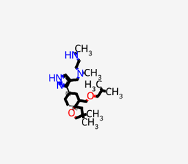 CNCCN(C)Cc1c[nH]nc1[C@@H]1CC[C@@]2(CC(C)(C)CO2)C(COCC(C)C)C1